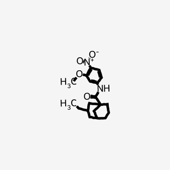 CCC1CC2CCCC(C(=O)Nc3ccc([N+](=O)[O-])c(OC)c3)(C1)C2